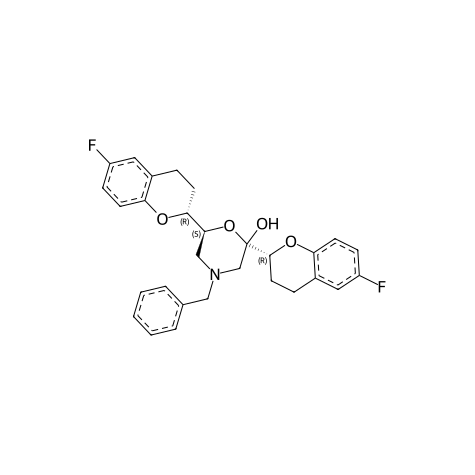 OC1([C@H]2CCc3cc(F)ccc3O2)CN(Cc2ccccc2)C[C@@H]([C@H]2CCc3cc(F)ccc3O2)O1